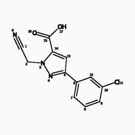 N#CCn1nc(-c2cccc(Cl)c2)cc1C(=O)O